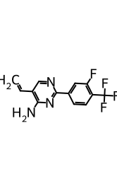 C=Cc1cnc(-c2ccc(C(F)(F)F)c(F)c2)nc1N